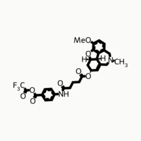 COc1ccc2c3c1O[C@H]1C[C@@H](OC(=O)CCCC(=O)Nc4ccc(C(=O)OC(=O)C(F)(F)F)cc4)C=C(CN(C)C2)[C@@H]31